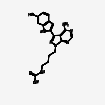 Nc1ncnc2c1c(-c1cc3ccc(O)cc3[nH]1)nn2CCCCNC(=O)O